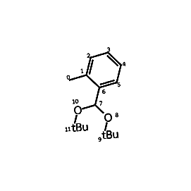 Cc1ccccc1C(OC(C)(C)C)OC(C)(C)C